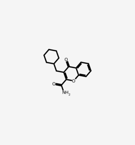 NC(=O)c1oc2ccccc2c(=O)c1CC1CCCCC1